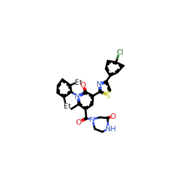 CCc1cccc(CC)c1-n1c(C)c(C(=O)N2CCNC(=O)C2)cc(-c2nc(-c3ccc(Cl)cc3)cs2)c1=O